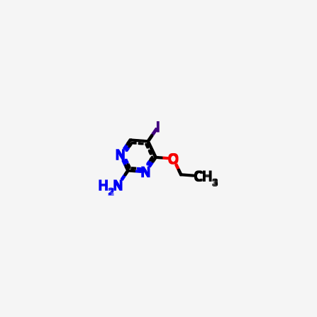 CCOc1nc(N)ncc1I